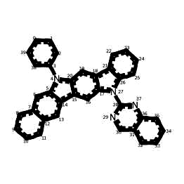 c1ccc(-n2c3cc4ccccc4cc3c3cc4c(cc32)c2ccccc2n4-c2ncc3ccccc3n2)cc1